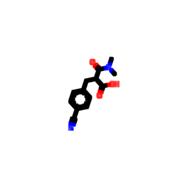 CN(C)C(=O)C(Cc1ccc(C#N)cc1)C(=O)O